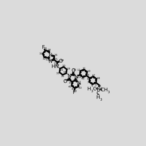 C[N+](C)(C)Cc1ccc(-c2cccc(-n3c(=O)n([C@H]4CC[C@@H](NC(=O)c5cn6cc(F)ccc6n5)CC4)c(=O)c4cc(F)cnc43)c2)cc1